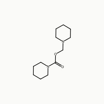 O=C(OCN1CCCCC1)N1CCCCC1